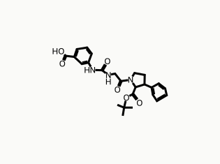 CC(C)(C)OC(=O)C1C(c2ccccc2)CCN1C(=O)CNC(=O)Nc1cccc(C(=O)O)c1